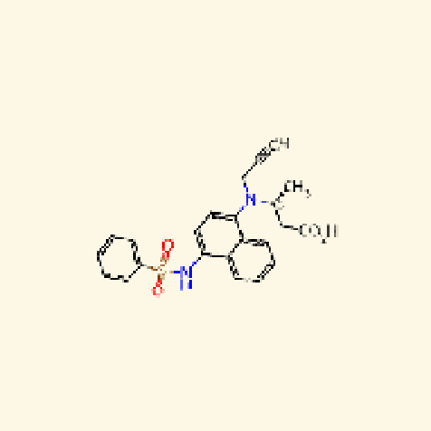 C#CCN(c1ccc(NS(=O)(=O)c2ccccc2)c2ccccc12)[C@@H](C)CC(=O)O